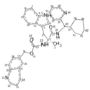 C[C@@](Cc1c[nH]c2ccccc12)(NC(=O)OCc1ccc2ncccc2c1)C(=O)NC(c1ccccn1)C1CCCCC1